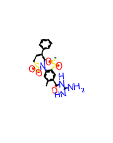 Cc1cc(N2CC(c3ccccc3)CCS2(=O)=O)c(S(C)(=O)=O)cc1C(=O)NC(=N)N